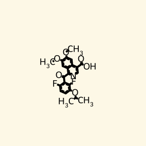 COc1cc2c(C(=O)O)cnc(C(=O)c3c(F)ccc(OC(C)C)c3F)c2cc1OC